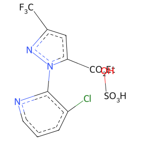 CCOC(=O)c1cc(C(F)(F)F)nn1-c1ncccc1Cl.O=S(=O)(O)O